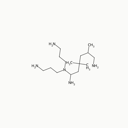 CC(CN)CC(C)(C)CC(N)N(CCCN)CCCN